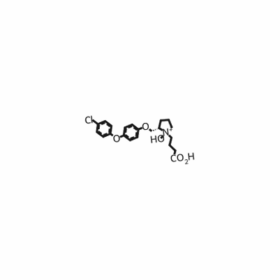 O=C(O)CCC[N+]1(O)CCC[C@H]1COc1ccc(Oc2ccc(Cl)cc2)cc1